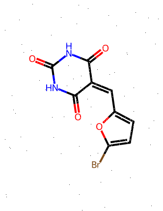 O=C1NC(=O)C(=Cc2ccc(Br)o2)C(=O)N1